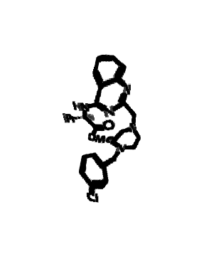 COC(=O)[C@@H](Nc1nc(CN2CCN(Cc3cccc(Cl)c3)CC2)nc2ccccc12)C(C)C